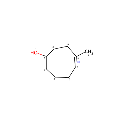 C/C1=C/CCCC(O)CC1